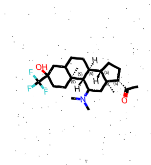 CC(=O)[C@H]1CC[C@H]2[C@@H]3CCC4CC(O)(C(F)(F)F)CC[C@]4(C)[C@H]3C(N(C)C)C[C@]12C